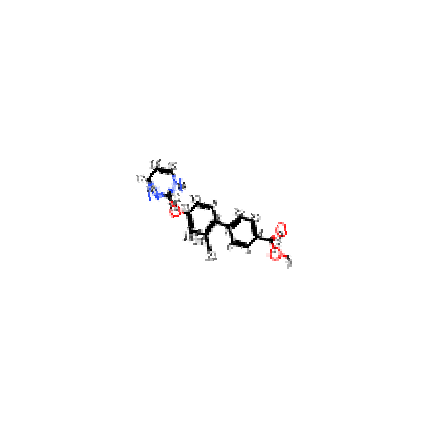 COC(=O)c1ccc(-c2ccc(Oc3ncccn3)cc2C)cc1